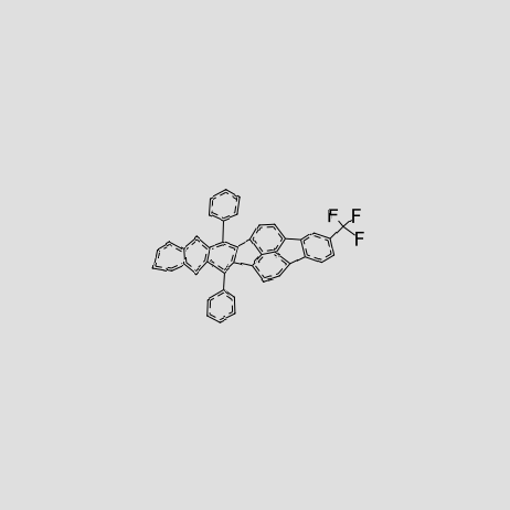 FC(F)(F)c1ccc2c(c1)-c1ccc3c4c(ccc-2c14)-c1c-3c(-c2ccccc2)c2cc3ccccc3cc2c1-c1ccccc1